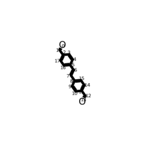 O=Cc1ccc(/C=C/c2ccc(C=O)cc2)cc1